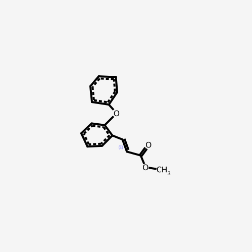 COC(=O)/C=C/c1ccccc1Oc1ccccc1